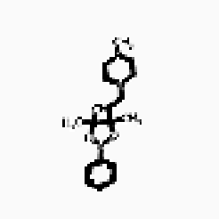 CN1CCN(CCC2(C)OB(c3ccccc3)OC2(C)C)CC1